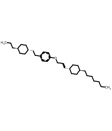 CCCCCCC[C@H]1CC[C@H](/C=C/COc2ccc(CC[C@H]3CC[C@H](CCC)CC3)cc2)CC1